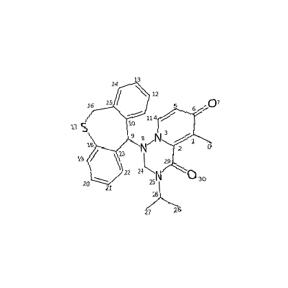 Cc1c2n(ccc1=O)N(C1c3ccccc3CSc3ccccc31)CN(C(C)C)C2=O